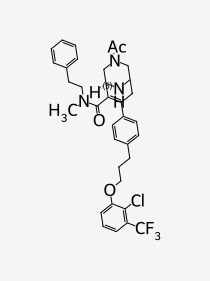 CC(=O)N1CC2CC(c3ccc(CCCOc4cccc(C(F)(F)F)c4Cl)cc3)=C(C(=O)N(C)CCc3ccccc3)[C@@H](C1)N2